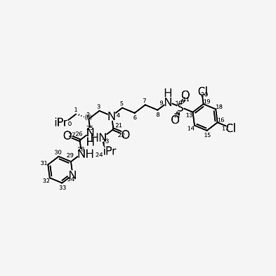 CC(C)C[C@H](CN(CCCCNS(=O)(=O)c1ccc(Cl)cc1Cl)C(=O)NC(C)C)NC(=O)Nc1ccccn1